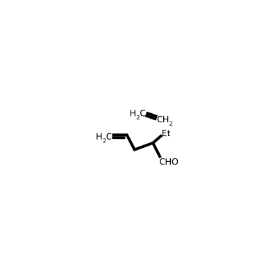 C=C.C=CCC(C=O)CC